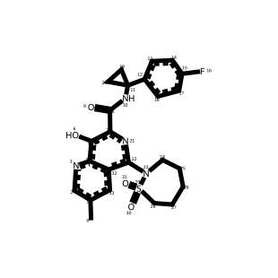 Cc1cnc2c(O)c(C(=O)NC3(c4ccc(F)cc4)CC3)nc(N3CCCCCS3(=O)=O)c2c1